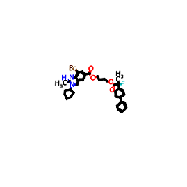 CCN(Cc1cc(C(=O)OCCCCOC(=O)C(C)(F)c2ccc(-c3ccccc3)cc2)cc(Br)c1N)C1CCCCC1